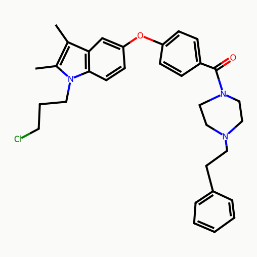 Cc1c(C)n(CCCCl)c2ccc(Oc3ccc(C(=O)N4CCN(CCc5ccccc5)CC4)cc3)cc12